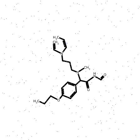 C=CN(/C=C\C)CCCN(C)C(C(=O)NC=O)c1ccc(OCCC)cc1